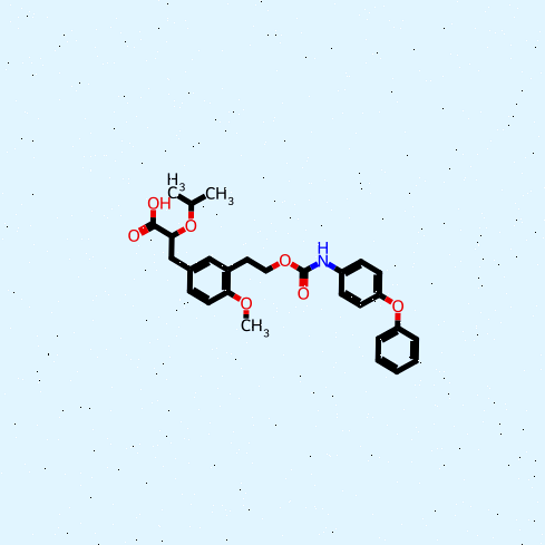 COc1ccc(CC(OC(C)C)C(=O)O)cc1CCOC(=O)Nc1ccc(Oc2ccccc2)cc1